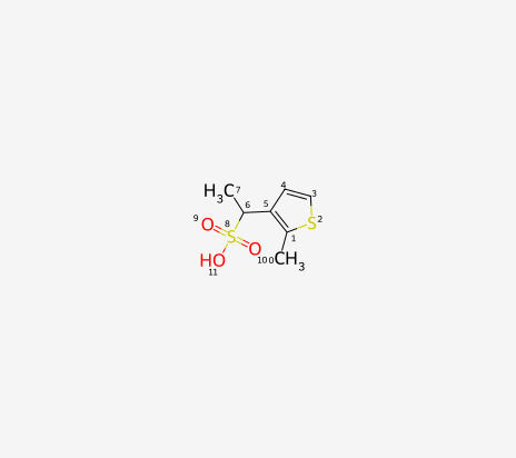 Cc1sccc1C(C)S(=O)(=O)O